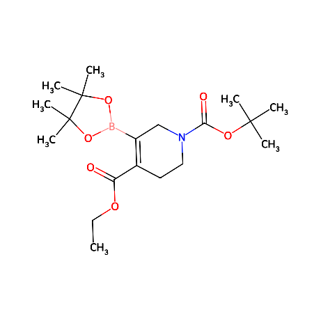 CCOC(=O)C1=C(B2OC(C)(C)C(C)(C)O2)CN(C(=O)OC(C)(C)C)CC1